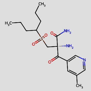 CCCC(CCC)S(=O)(=O)C[C@@](N)(C(N)=O)C(=O)c1cncc(C)c1